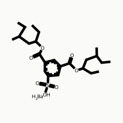 CCC(C)CC(CC)OC(=O)c1cc(C(=O)OC(CC)CC(C)CC)cc(S(=O)(=O)O)c1.[BaH2]